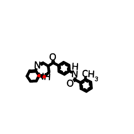 Cc1ccccc1C(=O)Nc1ccc(C(=O)C2C=NC3=CCCCC34NC=CC=C4C2)cc1